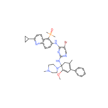 COC1=CC(c2ccccc2)=C(C)CC1(Nc1ncc(Br)c(Nc2ccc3nc(C4CC4)ccc3c2P(C)(C)=O)n1)N1CCN(C)CC1